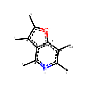 Cc1nc(C)c2c(C)c(C)oc2c1C